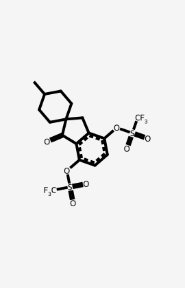 CC1CCC2(CC1)Cc1c(OS(=O)(=O)C(F)(F)F)ccc(OS(=O)(=O)C(F)(F)F)c1C2=O